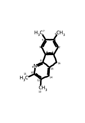 Cc1cc2c(cc1C)-c1nc(C)c(C)cc1C2